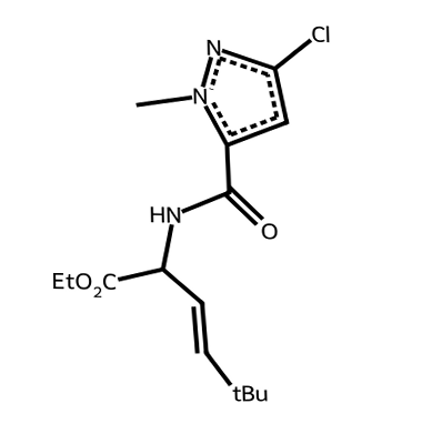 CCOC(=O)C(C=CC(C)(C)C)NC(=O)c1cc(Cl)nn1C